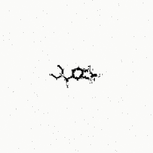 CCN(CC)C(=O)c1ccc2[nH]c(=O)[nH]c2c1